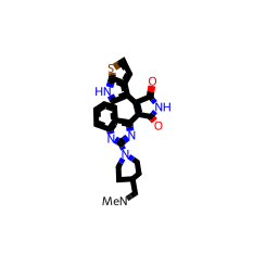 CNCC1CCN(c2nc(C3=C(c4c[nH]c5sccc45)C(=O)NC3=O)c3ccccc3n2)CC1